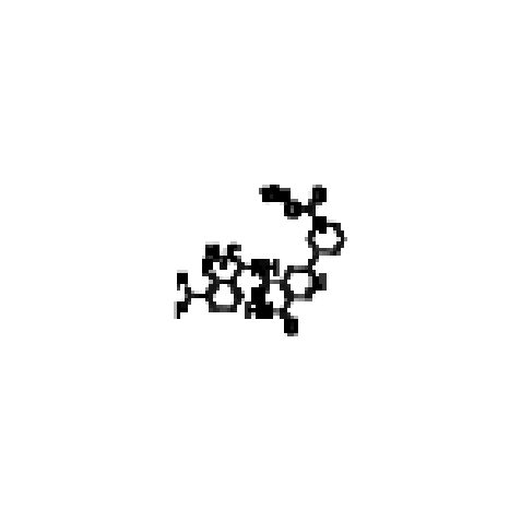 CC(Nc1n[nH]c(=O)c2cnc(C3=CCCN(C(=O)OC(C)(C)C)C3)cc12)c1cccc(C(F)F)c1F